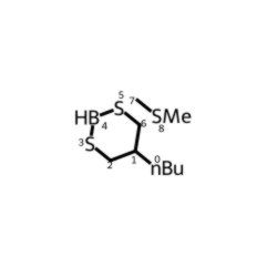 CCCCC1CSBSC1.CSC